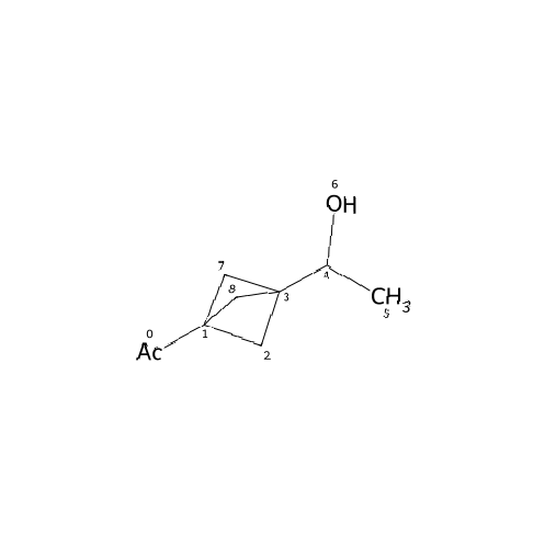 CC(=O)C12CC(C(C)O)(C1)C2